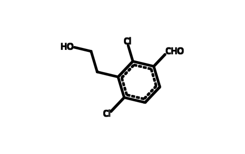 O=Cc1ccc(Cl)c(CCO)c1Cl